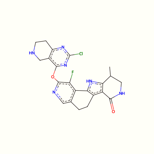 CC1CNC(=O)c2c1[nH]c1c2CCc2cnc(Oc3nc(Cl)nc4c3CNCC4)c(F)c2-1